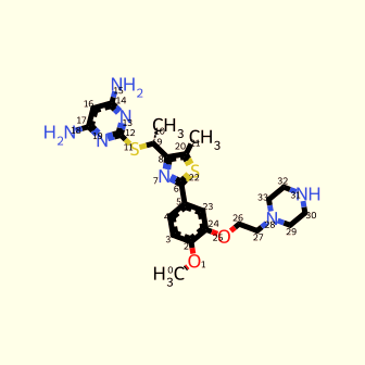 COc1ccc(-c2nc([C@@H](C)Sc3nc(N)cc(N)n3)c(C)s2)cc1OCCN1CCNCC1